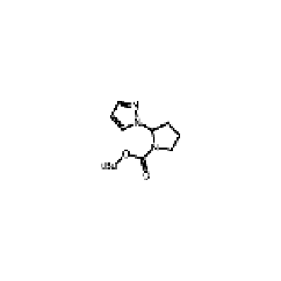 CC(C)(C)OC(=O)N1CCCC1n1cccn1